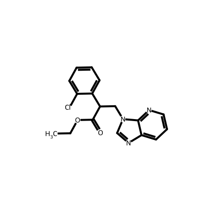 CCOC(=O)C(Cn1cnc2cccnc21)c1ccccc1Cl